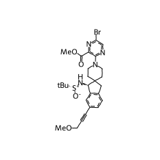 COCC#Cc1ccc2c(c1)[C@@H](N[S@+]([O-])C(C)(C)C)C1(CCN(c3ncc(Br)nc3C(=O)OC)CC1)C2